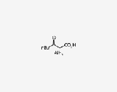 CCCCC(=O)CC(=O)O.[AlH3]